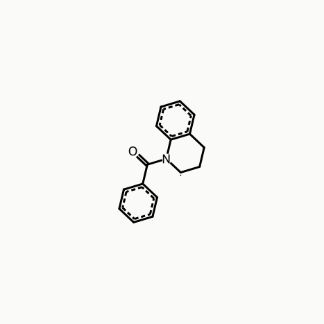 O=C(c1ccccc1)N1[CH]CCc2ccccc21